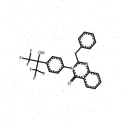 O=c1c2ccccc2nc(Cc2ccccc2)n1-c1ccc(C(O)(C(F)(F)F)C(F)(F)F)cc1